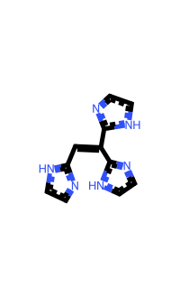 C(=C(c1ncc[nH]1)c1ncc[nH]1)c1ncc[nH]1